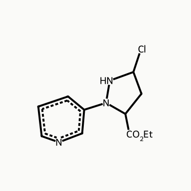 CCOC(=O)C1CC(Cl)NN1c1cccnc1